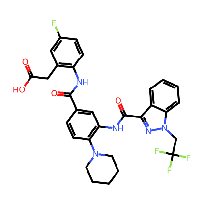 O=C(O)Cc1cc(F)ccc1NC(=O)c1ccc(N2CCCCC2)c(NC(=O)c2nn(CC(F)(F)F)c3ccccc23)c1